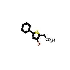 O=C(O)Cc1sc(-c2ccccc2)cc1Br